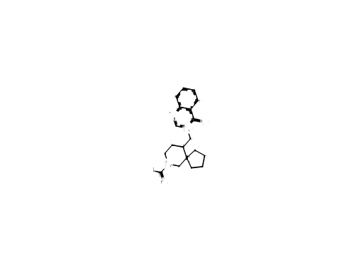 O=C(O)N1CCC(Cn2cnc3ccccc3c2=O)C2(CCCC2)C1